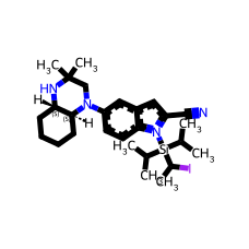 CC(C)[Si](C(C)C)(C(C)I)n1c(C#N)cc2cc(N3CC(C)(C)N[C@H]4CCCC[C@@H]43)ccc21